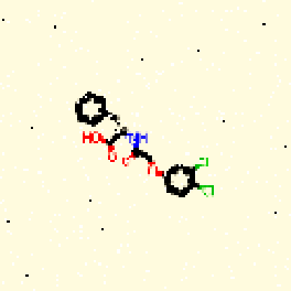 O=C(COc1ccc(Cl)c(Cl)c1)N[C@@H](Cc1ccccc1)C(=O)O